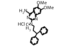 COc1cc2nc(N(C)CCC(c3ccccc3)c3ccccc3)nc(N)c2cc1OC.Cl